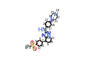 CC(C)S(=O)(=O)c1ccc(-c2cccn3nc(Nc4ccc(N5CCN(C)CC5)cc4)nc23)cc1